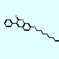 C=CCCCCCCOc1ccc2cc(-c3ccccc3)c(=O)oc2c1